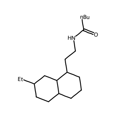 CCCCC(=O)NCCC1CCCC2CCC(CC)CC12